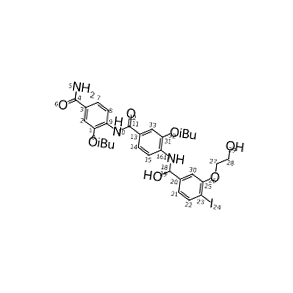 CC(C)COc1cc(C(N)=O)ccc1NC(=O)c1ccc(NC(O)c2ccc(I)c(OCCO)c2)c(OCC(C)C)c1